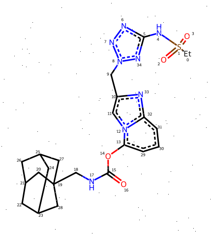 CCS(=O)(=O)Nc1nnn(Cc2cn3c(OC(=O)NCC45CC6CC(CC(C6)C4)C5)cccc3n2)n1